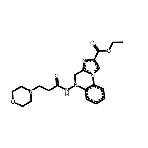 CCOC(=O)c1cn2c(n1)CN(NC(=O)CCN1CCOCC1)c1ccccc1-2